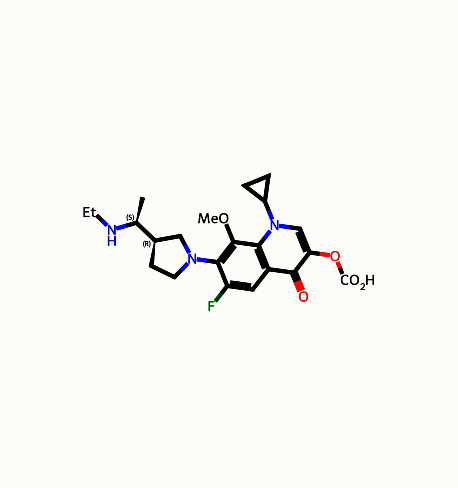 CCN[C@@H](C)[C@@H]1CCN(c2c(F)cc3c(=O)c(OC(=O)O)cn(C4CC4)c3c2OC)C1